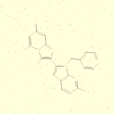 CCc1ccc2cc(-c3nc4cc(C=O)cc(OC)n4c3C)n(Cc3ccncc3)c2n1